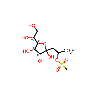 CCOC(=O)C(CC1(O)O[C@H]([C@H](O)CO)[C@H](O)[C@H]1O)OS(C)(=O)=O